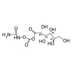 NC(=O)NOC(=O)OC(=O)[C@H](O)[C@@H](O)[C@H](O)[C@H](O)CO